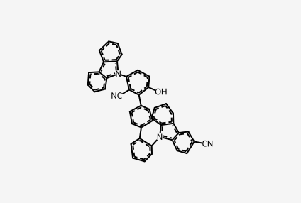 N#Cc1ccc2c(c1)c1ccccc1n2-c1ccccc1-c1ccc(-c2c(O)ccc(-n3c4ccccc4c4ccccc43)c2C#N)cc1